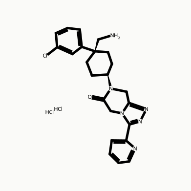 Cl.Cl.NC[C@]1(c2cccc(Cl)c2)CC[C@H](N2Cc3nnc(-c4ccccn4)n3CC2=O)CC1